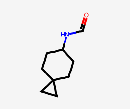 O=CNC1CCC2(CC1)CC2